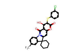 O=c1oc2cc3n(c(=O)c2c(O)c1Sc1cccc(Cl)c1)-c1ccc(C(F)(F)F)cc1C31CCCCC1